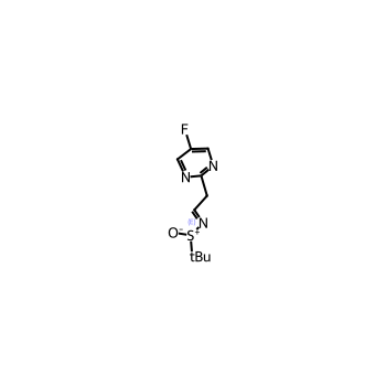 CC(C)(C)[S+]([O-])/N=C/Cc1ncc(F)cn1